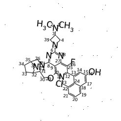 CN(C)C1CN(c2nc3c4c(nc(-c5cc(O)cc6cccc(Cl)c56)c(F)c4n2)OCC2C4CCC(CN32)N4)C1